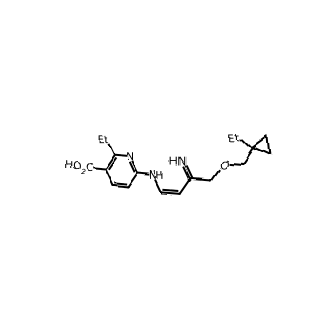 CCc1nc(N/C=C\C(=N)COCC2(CC)CC2)ccc1C(=O)O